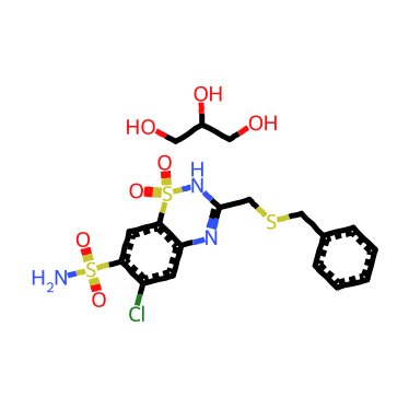 NS(=O)(=O)c1cc2c(cc1Cl)N=C(CSCc1ccccc1)NS2(=O)=O.OCC(O)CO